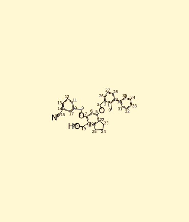 Cc1c(COc2cc(OCc3cccc(C#N)c3)c(CO)c3c2CCC3)cccc1-c1ccccc1